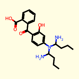 CCCC(N)N(c1ccc(C(=O)c2ccccc2C(=O)O)c(O)c1)C(N)CCC